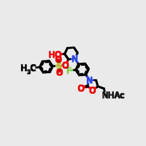 CC(=O)NCC1CN(c2ccc(N3CCCC(O)[C@@H]3OS(=O)(=O)c3ccc(C)cc3)c(F)c2)C(=O)O1